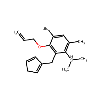 C=CCOc1c(C(C)(C)C)cc(C)c([SiH](C)C)c1CC1=CCC=C1